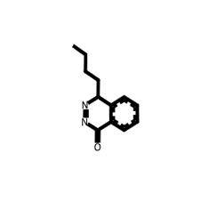 CCCCC1N=NC(=O)c2ccccc21